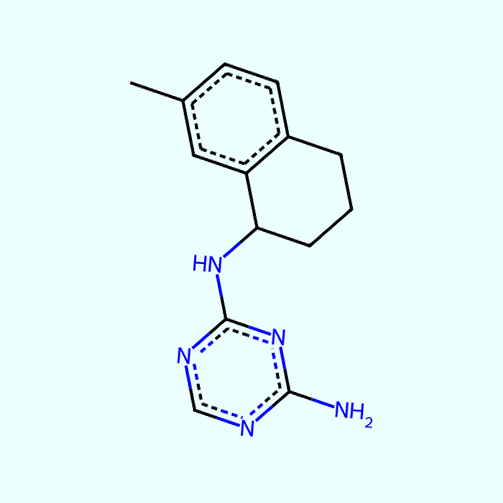 Cc1ccc2c(c1)C(Nc1ncnc(N)n1)CCC2